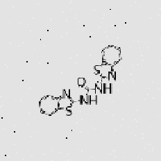 O=C(Nc1nc2ccccc2s1)Nc1nc2ccccc2s1